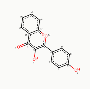 O=c1c(O)c(-c2ccc(O)cc2)oc2ccccc12